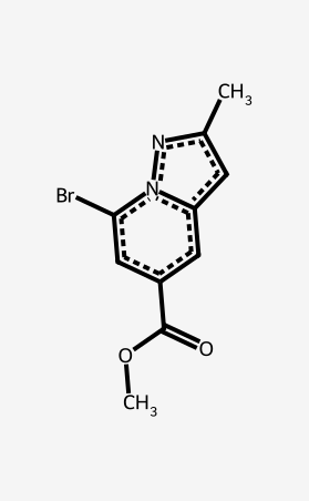 COC(=O)c1cc(Br)n2nc(C)cc2c1